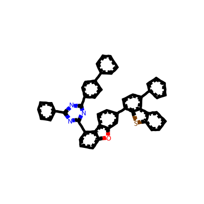 c1ccc(-c2ccc(-c3nc(-c4ccccc4)nc(-c4cccc5oc6cc(-c7ccc(-c8ccccc8)c8c7sc7ccccc78)ccc6c45)n3)cc2)cc1